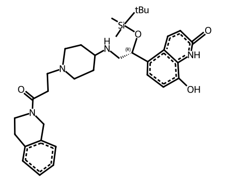 CC(C)(C)[Si](C)(C)O[C@@H](CNC1CCN(CCC(=O)N2CCc3ccccc3C2)CC1)c1ccc(O)c2[nH]c(=O)ccc12